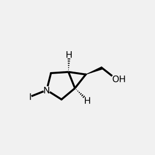 OC[C@H]1[C@H]2CN(I)C[C@@H]12